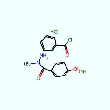 CC(C)(C)N(N)C(=O)c1ccc(O)cc1.Cl.Cl.O=C(Cl)c1ccccc1